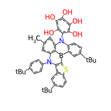 Cc1cc2c3c(c1)N(c1ccc(C(C)(C)C)cc1)c1c(sc4ccc(C(C)(C)C)cc14)B3c1cc(C(C)(C)C)ccc1N2c1c(O)c(O)c(O)c(O)c1O